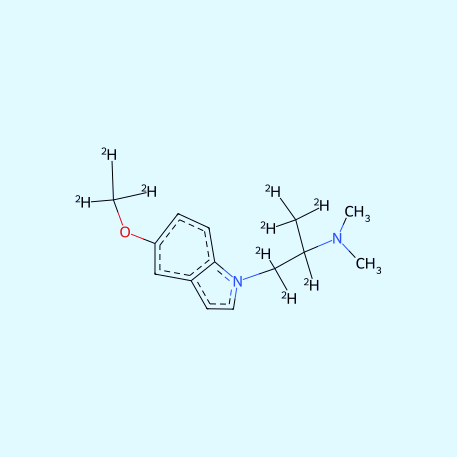 [2H]C([2H])([2H])Oc1ccc2c(ccn2C([2H])([2H])C([2H])(N(C)C)C([2H])([2H])[2H])c1